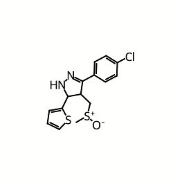 C[S+]([O-])CC1C(c2ccc(Cl)cc2)=NNC1c1cccs1